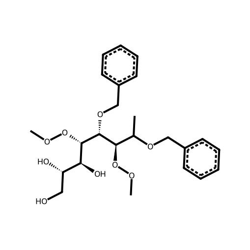 COO[C@@H]([C@@H](O)[C@@H](O)CO)[C@H](OCc1ccccc1)[C@H](OOC)C(C)OCc1ccccc1